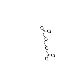 O=C(Cl)COCOCC(=O)Cl